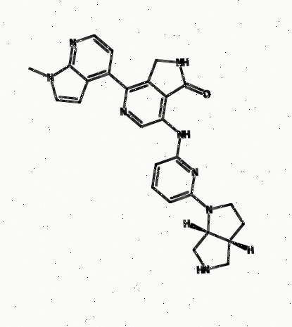 Cn1ccc2c(-c3ncc(Nc4cccc(N5CC[C@@H]6CNC[C@@H]65)n4)c4c3CNC4=O)ccnc21